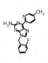 Cc1ccc(-c2nc(N)nc3c2ncn3Cc2ccccc2F)nc1